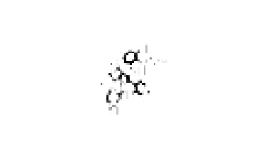 COc1c(Cl)cccc1Nc1c(-c2ccncc2OC[C@H]2CN(C)CCO2)[nH]c2c1C(=O)NC[C@H]2CF